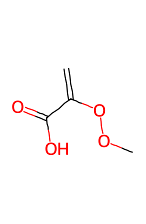 C=C(OOC)C(=O)O